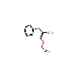 [CH2]C(=COCC)Cc1ccccc1